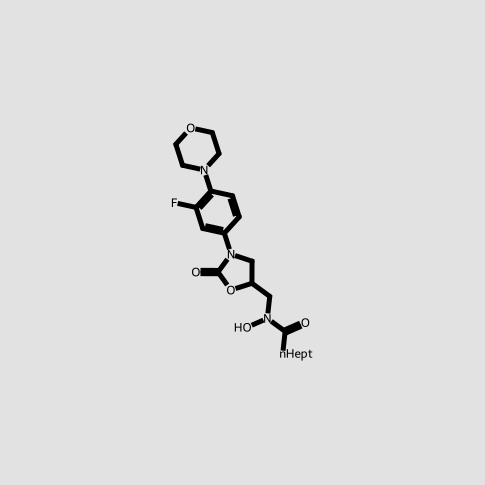 CCCCCCCC(=O)N(O)CC1CN(c2ccc(N3CCOCC3)c(F)c2)C(=O)O1